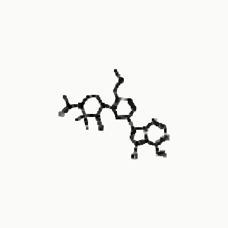 COCc1ccc(-c2cc(Cl)c3c(N)ncnn23)cc1N1CCN(C(C)=O)C(C)(C)C1=O